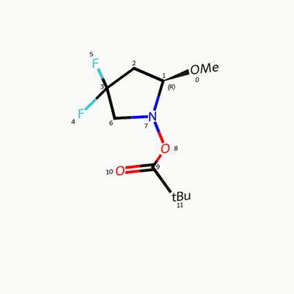 CO[C@@H]1CC(F)(F)CN1OC(=O)C(C)(C)C